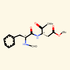 COC(=O)[C@H](CC(=O)OC(C)(C)C)NC(=O)[C@H](Cc1ccccc1)NC=O